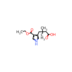 CCOC(=O)c1c[nH]cc1CC(C)(C)CC(=O)O